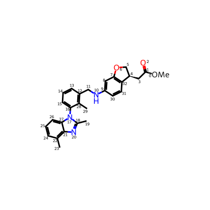 COC(=O)C[C@@H]1COc2cc(NCc3cccc(-n4c(C)nc5c(C)cccc54)c3C)ccc21